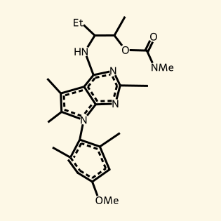 CCC(Nc1nc(C)nc2c1c(C)c(C)n2-c1c(C)cc(OC)cc1C)C(C)OC(=O)NC